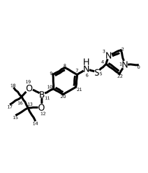 Cn1cnc(SNc2ccc(B3OC(C)(C)C(C)(C)O3)cc2)c1